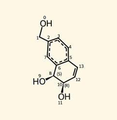 OCc1ccc2c(c1)[C@H](O)[C@H](O)C=C2